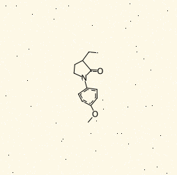 CCC1CCN(c2ccc(OC)cc2)C1=O